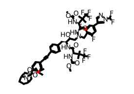 COC(=O)N[C@H](C(=O)N[C@@H](Cc1ccc(C#Cc2ccc(N3CC4CCC(C3)N4C(=O)OC(C)(C)C)nc2)cc1)[C@@H](O)CN(Cc1c(F)cc(-c2cnn(C(F)F)c2)cc1F)NC(=O)[C@@H](NC(=O)OC)C(C)(C)C(F)(F)F)C(C)(C)C(F)(F)F